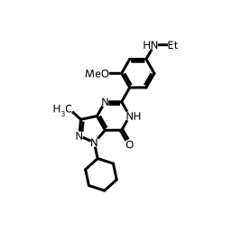 CCNc1ccc(-c2nc3c(C)nn(C4CCCCC4)c3c(=O)[nH]2)c(OC)c1